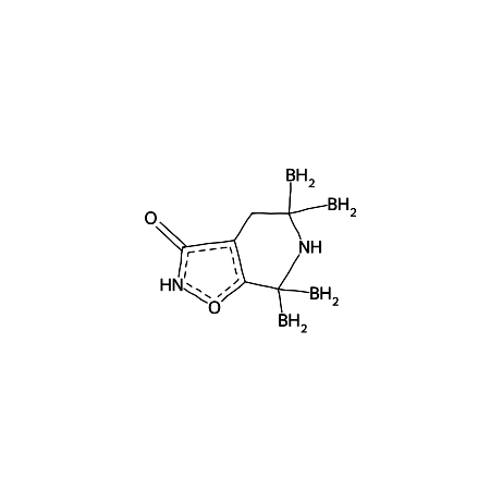 BC1(B)Cc2c(o[nH]c2=O)C(B)(B)N1